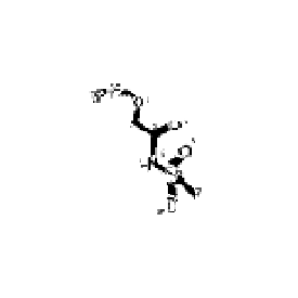 CC(C)OCC(=O)NS(C)(=O)=O